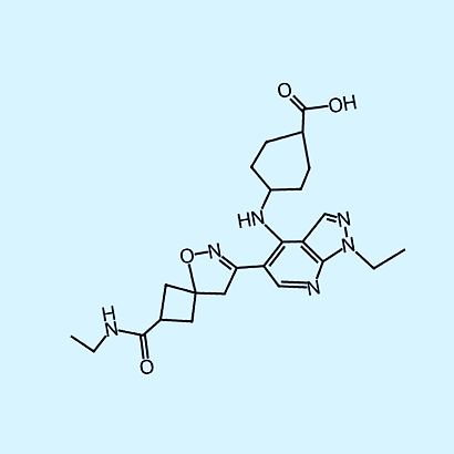 CCNC(=O)C1CC2(CC(c3cnc4c(cnn4CC)c3NC3CCC(C(=O)O)CC3)=NO2)C1